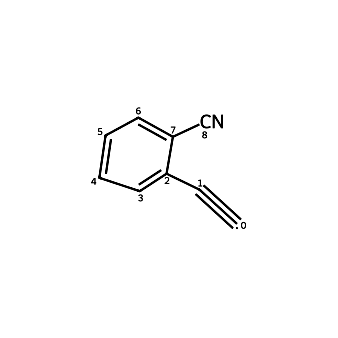 [C]#Cc1ccccc1C#N